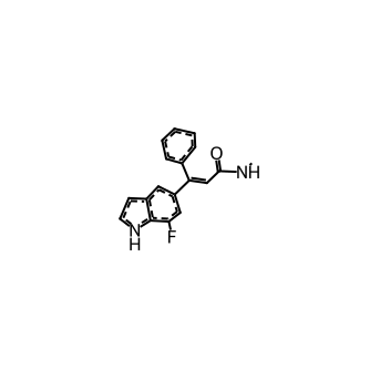 CNC(=O)C=C(c1ccccc1)c1cc(F)c2[nH]ccc2c1